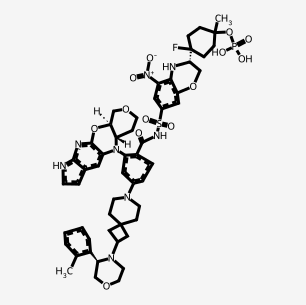 Cc1ccccc1[C@@H]1COCCN1C1CC2(CCN(c3ccc(C(=O)NS(=O)(=O)c4cc5c(c([N+](=O)[O-])c4)N[C@H](C4(F)CCC(C)(OP(=O)(O)O)CC4)CO5)c(N4c5cc6cc[nH]c6nc5O[C@H]5COCC[C@@H]54)c3)CC2)C1